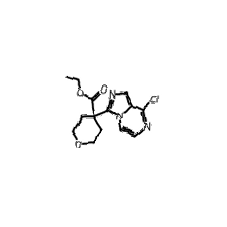 CCOC(=O)C1(c2ncc3c(Cl)nccn23)CCOCC1